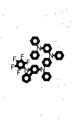 Fc1c(F)c(F)c(-n2c3ccccc3c3cc(N(c4ccccc4)c4ccc(N(c5ccccc5)c5cccc(N(c6ccccc6)c6ccccc6)c5)cc4)ccc32)c(F)c1F